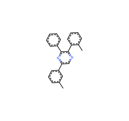 Cc1cccc(-c2cnc(-c3ccccc3C)c(-c3ccccc3)n2)c1